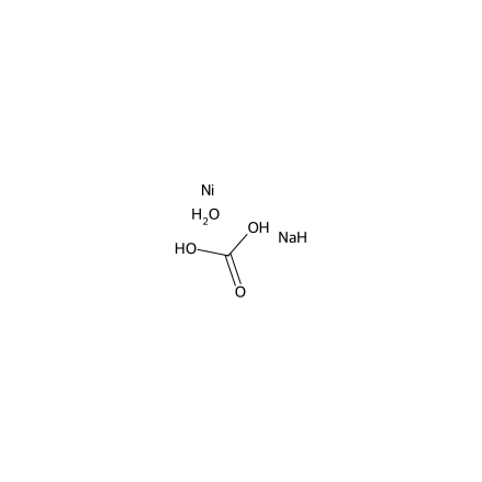 O.O=C(O)O.[NaH].[Ni]